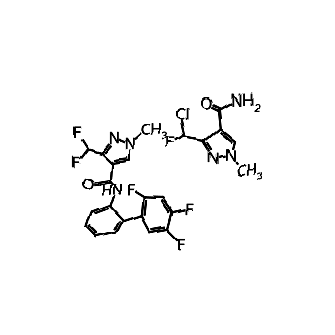 Cn1cc(C(=O)Nc2ccccc2-c2cc(F)c(F)cc2F)c(C(F)F)n1.Cn1cc(C(N)=O)c(C(F)Cl)n1